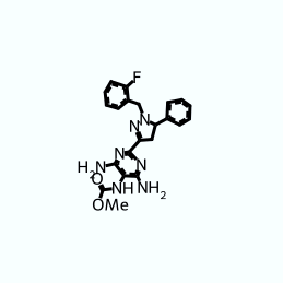 COC(=O)Nc1c(N)nc(C2=NN(Cc3ccccc3F)C(c3ccccc3)C2)nc1N